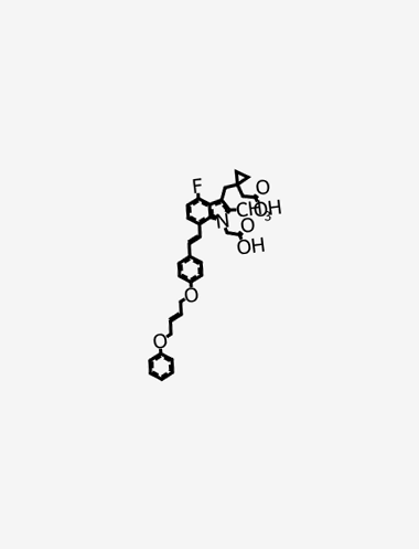 Cc1c(CC2(CC(=O)O)CC2)c2c(F)ccc(/C=C/c3ccc(OC/C=C/COc4ccccc4)cc3)c2n1CC(=O)O